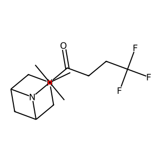 CC(C)(C)N1C2CC1CN(C(=O)CCC(F)(F)F)C2